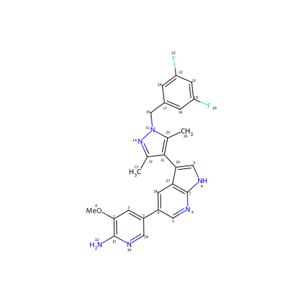 COc1cc(-c2cnc3[nH]cc(-c4c(C)nn(Cc5cc(F)cc(F)c5)c4C)c3c2)cnc1N